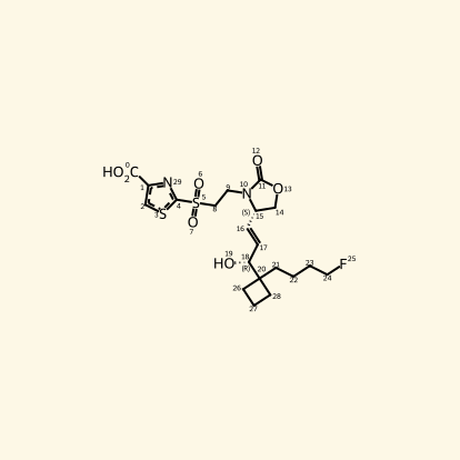 O=C(O)c1csc(S(=O)(=O)CCN2C(=O)OC[C@@H]2C=C[C@@H](O)C2(CCCCF)CCC2)n1